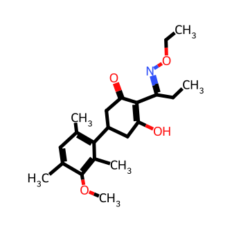 CCON=C(CC)C1=C(O)CC(c2c(C)cc(C)c(OC)c2C)CC1=O